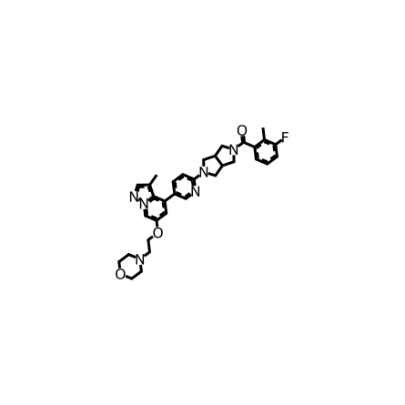 Cc1c(F)cccc1C(=O)N1CC2CN(c3ccc(-c4cc(OCCN5CCOCC5)cn5ncc(C)c45)cn3)CC2C1